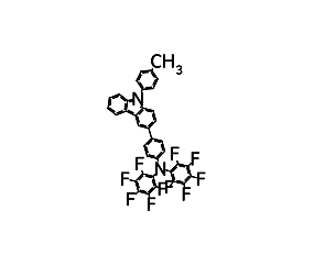 Cc1ccc(-n2c3ccccc3c3cc(-c4ccc(N(c5c(F)c(F)c(F)c(F)c5F)c5c(F)c(F)c(F)c(F)c5F)cc4)ccc32)cc1